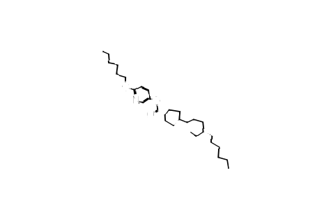 CCCCCCOc1ccc(OC(=O)[C@H]2CC[C@H]([C@H]3CC[C@H](CCCCCC)CC3)CC2)cn1